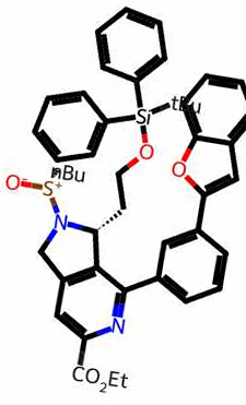 CCCC[S@@+]([O-])N1Cc2cc(C(=O)OCC)nc(-c3cccc(-c4cc5ccccc5o4)c3)c2[C@H]1CCO[Si](c1ccccc1)(c1ccccc1)C(C)(C)C